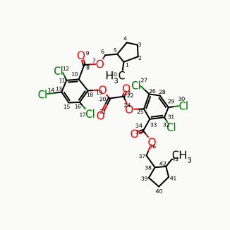 CC1CCCC1COC(=O)c1c(Cl)c(Cl)cc(Cl)c1OC(=O)C(=O)Oc1c(Cl)cc(Cl)c(Cl)c1C(=O)OCC1CCCC1C